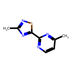 Cc1ccnc(-c2nc(C)ns2)n1